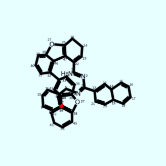 N/C(=N\C(=N/Cc1ccccc1)C1=CC2C=CC=CC2C=C1)C1=CCCc2oc3cccc(-c4ccc5oc6c(c5c4)CCC=C6)c3c21